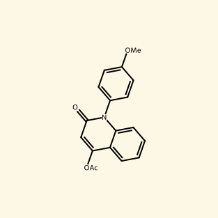 COc1ccc(-n2c(=O)cc(OC(C)=O)c3ccccc32)cc1